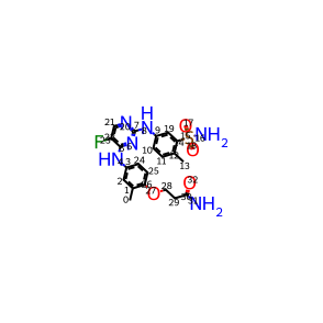 Cc1cc(Nc2nc(Nc3ccc(C)c(S(N)(=O)=O)c3)ncc2F)ccc1OCCC(N)=O